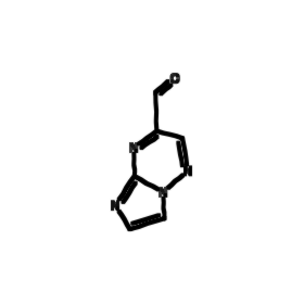 O=Cc1cnn2ccnc2n1